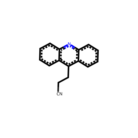 N#CCCc1c2ccccc2nc2ccccc12